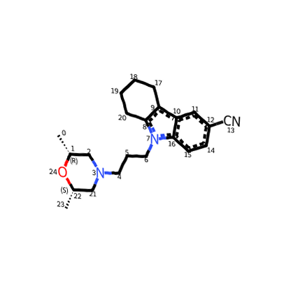 C[C@@H]1CN(CCCn2c3c(c4cc(C#N)ccc42)CCCC3)C[C@H](C)O1